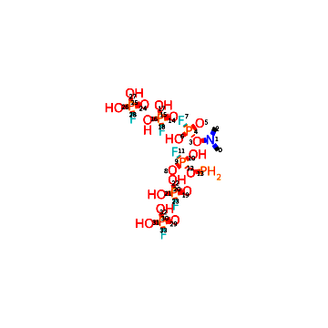 CN(C)OP(=O)(O)F.O=P(O)(F)OP.O=P(O)(O)F.O=P(O)(O)F.O=P(O)(O)F.O=P(O)(O)F